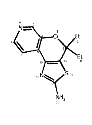 CCC1(CC)Oc2cnccc2-c2nc(N)sc21